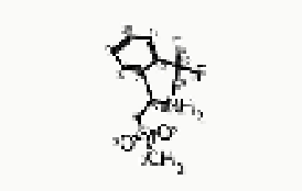 CS(=O)(=O)CC(N)c1ccccc1C(F)(F)F